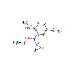 CCON(c1cc(C#N)ccc1NC)C1CC1